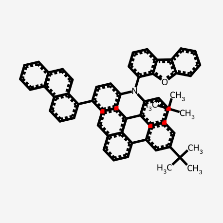 CC(C)(C)c1cc(-c2cccc3cccc(-c4ccccc4N(c4ccc(-c5cccc6c5ccc5ccccc56)cc4)c4cccc5c4oc4ccccc45)c23)cc(C(C)(C)C)c1